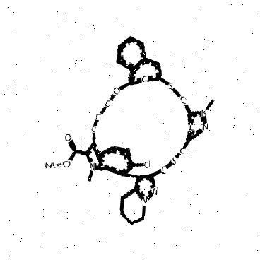 COC(=O)c1c2c3ccc(Cl)c(c3n1C)-c1c(nn3c1CCCC3)CSCc1cc(n(C)n1)CSc1cc(c3ccccc3c1)OCCC2